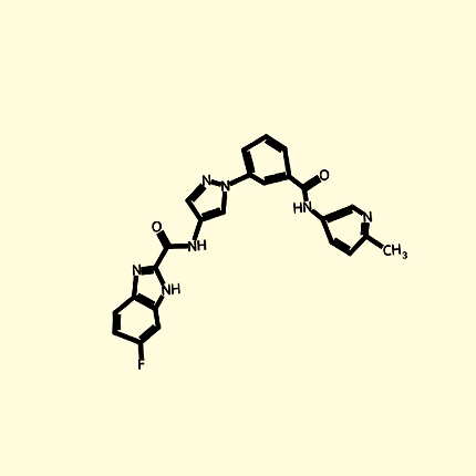 Cc1ccc(NC(=O)c2cccc(-n3cc(NC(=O)c4nc5ccc(F)cc5[nH]4)cn3)c2)cn1